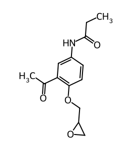 CCC(=O)Nc1ccc(OCC2CO2)c(C(C)=O)c1